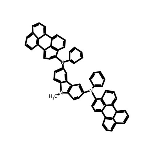 Cn1c2ccc(N(c3ccccc3)c3ccc4c5cccc6cccc(c7cccc3c74)c65)cc2c2cc(N(c3ccccc3)c3ccc4c5cccc6cccc(c7cccc3c74)c65)ccc21